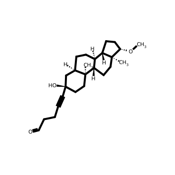 CO[C@H]1CC[C@H]2[C@@H]3CC[C@@H]4C[C@@](O)(C#CCCC=O)CC[C@]4(C)[C@H]3CC[C@]12C